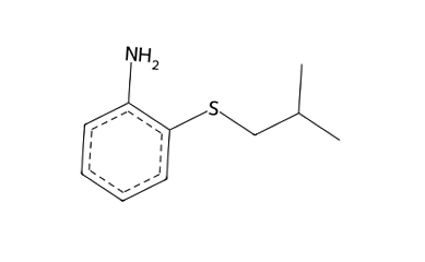 CC(C)CSc1ccccc1N